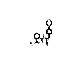 N#C[C@H](Cc1ccc(N2CCOCC2)cc1)NC(=O)[C@@H]1CCCC[C@@H]1C(N)=O